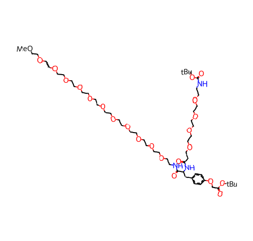 COCCOCCOCCOCCOCCOCCOCCOCCOCCOCCOCCOCCNC(=O)C(Cc1ccc(OCC(=O)OC(C)(C)C)cc1)NC(=O)CCOCCOCCOCCOCCNC(=O)OC(C)(C)C